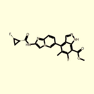 COC(=O)c1c(F)c(C)c(-c2ccc3nc(NC(=O)[C@@H]4C[C@@H]4F)cn3c2)c2cn[nH]c12